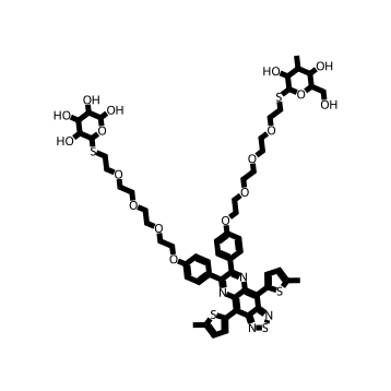 Cc1ccc(-c2c3nsnc3c(-c3ccc(C)s3)c3nc(-c4ccc(OCCOCCOCCOCCSC5OC(O)C(O)C(O)C5O)cc4)c(-c4ccc(OCCOCCOCCOCCSC5OC(CO)C(O)C(C)C5O)cc4)nc23)s1